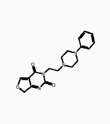 O=C1N=C2COC=C2C(=O)N1CCN1CCN(c2ccccc2)CC1